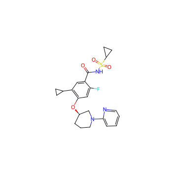 O=C(NS(=O)(=O)C1CC1)c1cc(C2CC2)c(O[C@@H]2CCCN(c3ccccn3)C2)cc1F